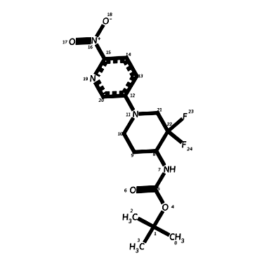 CC(C)(C)OC(=O)NC1CCN(c2ccc([N+](=O)[O-])nc2)CC1(F)F